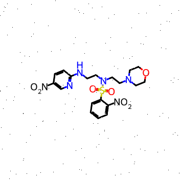 O=[N+]([O-])c1ccc(NCCN(CCN2CCOCC2)S(=O)(=O)c2ccccc2[N+](=O)[O-])nc1